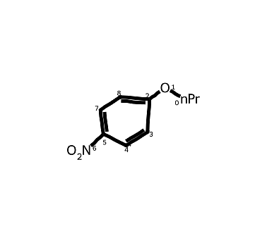 CCCOc1c[c]c([N+](=O)[O-])cc1